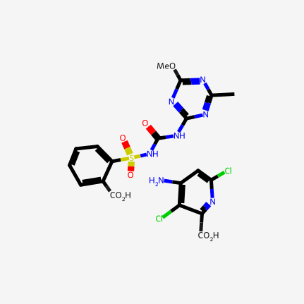 COc1nc(C)nc(NC(=O)NS(=O)(=O)c2ccccc2C(=O)O)n1.Nc1cc(Cl)nc(C(=O)O)c1Cl